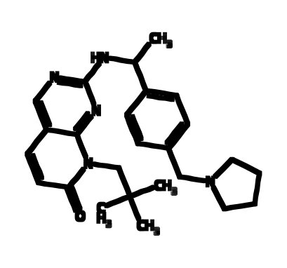 CC(Nc1ncc2ccc(=O)n(CC(C)(C)C)c2n1)c1ccc(CN2CCCC2)cc1